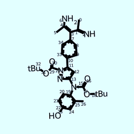 CC(=N)/C(=C(/C)N)c1ccc(-c2cc(N(C(=O)OC(C)(C)C)c3ccc(O)cc3C)nn2C(=O)OC(C)(C)C)cc1